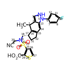 C[C@H]1C2=CNN(c3ccc(F)cc3)C2=CC2=C1[C@@H](CN(CC#N)S(=O)(=O)c1ccsc1C(=O)O)CC2